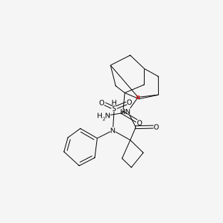 NC(=O)C12CC3CC(C1)C(NC(=O)C1(N(c4ccccc4)[SH](=O)=O)CCC1)C(C3)C2